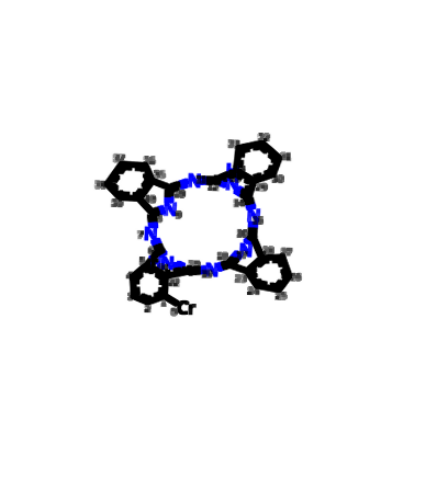 [Cr][c]1cccc2c3nc4nc(nc5[nH]c(nc6nc(nc([nH]3)c12)-c1ccccc1-6)c1ccccc51)-c1ccccc1-4